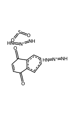 N=[N+]=N.N=[N+]=N.O=C1C=CC(=O)c2ccccc21.O=S=O